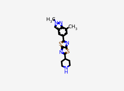 Cc1cc(-c2nc3sc(C4CCNCC4)nc3s2)cc2cn(C)nc12